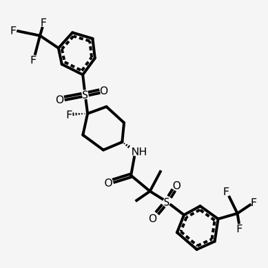 CC(C)(C(=O)N[C@H]1CC[C@](F)(S(=O)(=O)c2cccc(C(F)(F)F)c2)CC1)S(=O)(=O)c1cccc(C(F)(F)F)c1